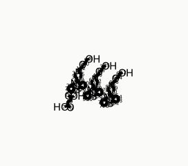 O=C(O)/C=C/C(=O)O.OCCOCCN1CCN(C2=Nc3ccccc3Sc3ccccc32)CC1.OCCOCCN1CCN(C2=Nc3ccccc3Sc3ccccc32)CC1.OCCOCCN1CCN(C2=Nc3ccccc3Sc3ccccc32)CC1